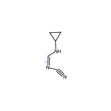 N#C/N=[C]\NC1CC1